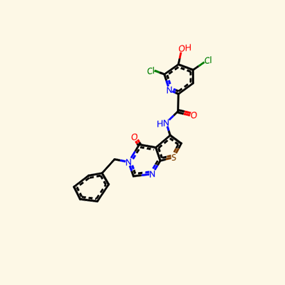 O=C(Nc1csc2ncn(Cc3ccccc3)c(=O)c12)c1cc(Cl)c(O)c(Cl)n1